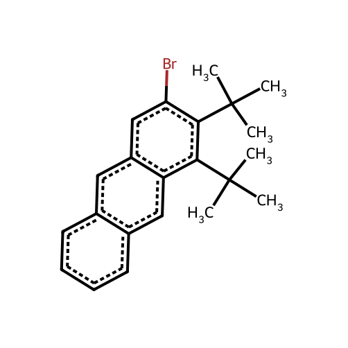 CC(C)(C)c1c(Br)cc2cc3ccccc3cc2c1C(C)(C)C